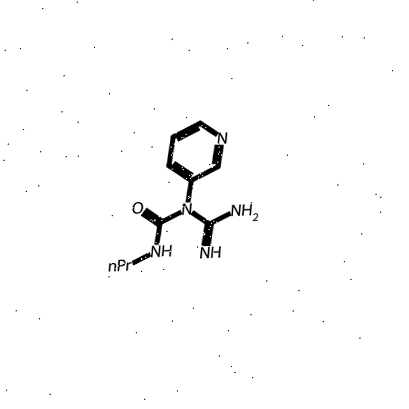 CCCNC(=O)N(C(=N)N)c1cccnc1